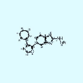 CCCNc1nc2ccc(-c3ocnc3-c3ccccc3)cc2s1